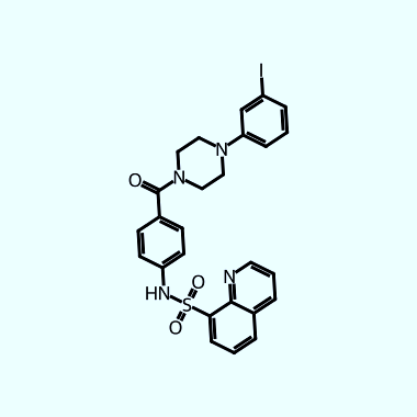 O=C(c1ccc(NS(=O)(=O)c2cccc3cccnc23)cc1)N1CCN(c2cccc(I)c2)CC1